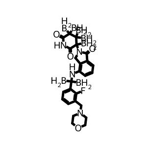 BC(B)(Nc1cccc2c1CN(C1(B)C(=O)NC(=O)C(B)(B)C1(B)B)C2=O)c1cccc(CN2CCOCC2)c1F